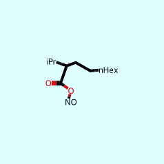 CCCCCCCCC(C(=O)ON=O)C(C)C